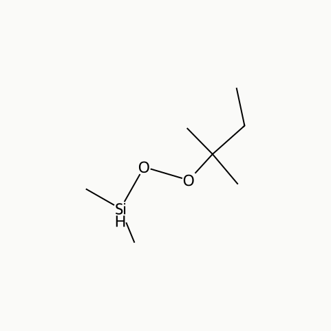 CCC(C)(C)OO[SiH](C)C